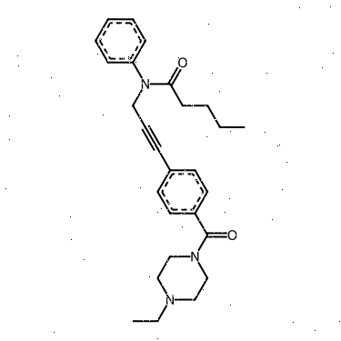 CCCCC(=O)N(CC#Cc1ccc(C(=O)N2CCN(CC)CC2)cc1)c1ccccc1